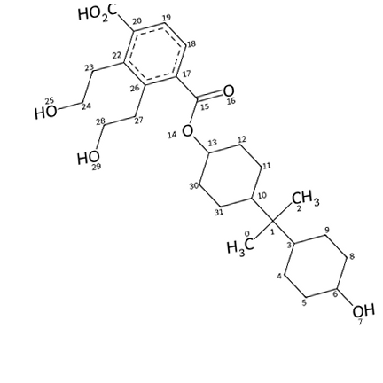 CC(C)(C1CCC(O)CC1)C1CCC(OC(=O)c2ccc(C(=O)O)c(CCO)c2CCO)CC1